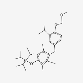 COCOc1ccc(Cc2c(C)cc(O[Si](C(C)C)(C(C)C)C(C)C)c(C)c2C)cc1C(C)C